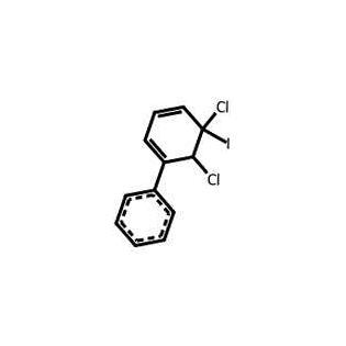 ClC1C(c2ccccc2)=CC=CC1(Cl)I